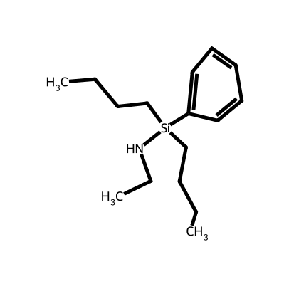 CCCC[Si](CCCC)(NCC)c1ccccc1